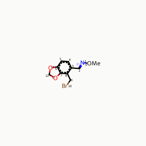 CO/N=C/c1ccc2c(c1CBr)OCO2